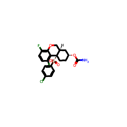 NC(=O)O[C@@H]1CC[C@@]2(S(=O)(=O)c3ccc(Cl)cc3)c3c(F)ccc(F)c3OC[C@H]2C1